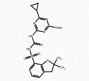 COc1nc(NC(=O)NS(=O)(=O)c2cccc3c2SC(C)(C)C3)nc(C2CC2)n1